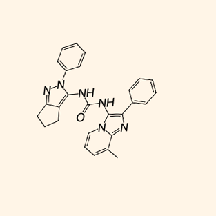 Cc1cccn2c(NC(=O)Nc3c4c(nn3-c3ccccc3)CCC4)c(-c3ccccc3)nc12